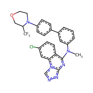 CN(c1cccc(-c2ccc(N3CCOCC3C(F)(F)F)cc2)c1)c1nc2nncn2c2cc(Cl)ccc12